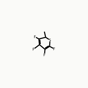 CC1SC(F)=C(F)C(F)=C1F